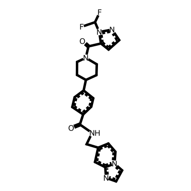 O=C(NCc1ccn2ccnc2c1)c1ccc(C2CCN(C(=O)c3ccnn3C(F)F)CC2)cc1